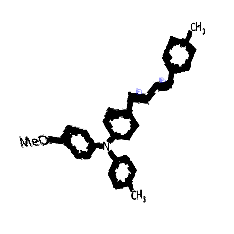 COc1ccc(N(c2ccc(C)cc2)c2ccc(/C=C/C=C/c3ccc(C)cc3)cc2)cc1